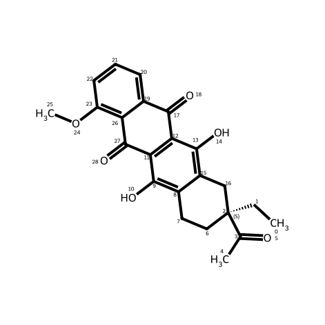 CC[C@]1(C(C)=O)CCc2c(O)c3c(c(O)c2C1)C(=O)c1cccc(OC)c1C3=O